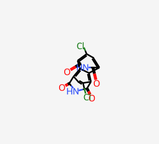 O=c1[nH]c(=O)c2c(Cl)cc1c1c3c(Cl)cc(c(=O)[nH]c3=O)c21